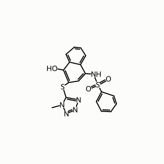 Cn1nnnc1Sc1cc(NS(=O)(=O)c2ccccc2)c2ccccc2c1O